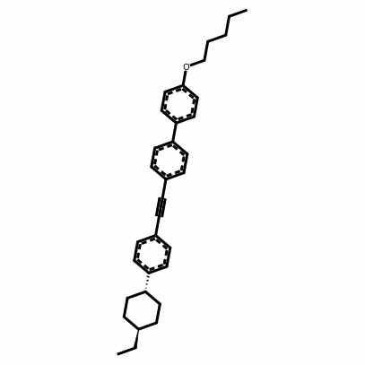 CCCCCOc1ccc(-c2ccc(C#Cc3ccc([C@H]4CC[C@H](CC)CC4)cc3)cc2)cc1